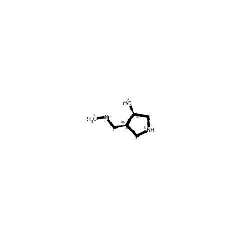 CNC[C@@H]1CNC[C@@H]1O